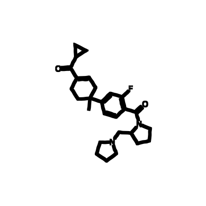 CC1(c2ccc(C(=O)N3CCCC3CN3CCCC3)c(F)c2)CC=C(C(=O)C2CC2)CC1